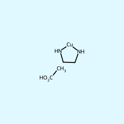 C1C[NH][Cu][NH]1.CC(=O)O